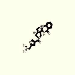 CCN(CC)Cc1cc(C(=O)N2C[C@H]3CC[C@]4(NC(=O)c5ccccc5N4)[C@H]3C2)co1